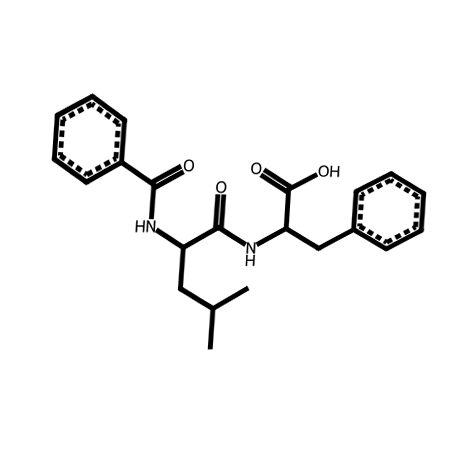 CC(C)CC(NC(=O)c1ccccc1)C(=O)NC(Cc1ccccc1)C(=O)O